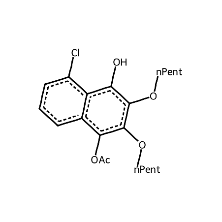 CCCCCOc1c(OCCCCC)c(O)c2c(Cl)cccc2c1OC(C)=O